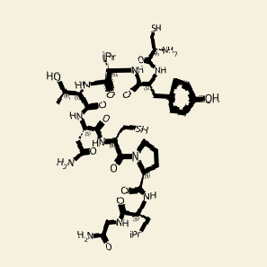 CC(C)C[C@H](NC(=O)[C@@H]1CCCN1C(=O)[C@H](CS)NC(=O)[C@H](CC(N)=O)NC(=O)[C@@H](NC(=O)[C@@H](NC(=O)[C@H](Cc1ccc(O)cc1)NC(=O)[C@@H](N)CS)C(C)C)[C@@H](C)O)C(=O)NCC(N)=O